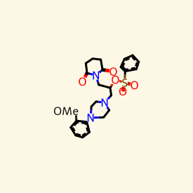 COc1ccccc1N1CCN(CC(CN2C(=O)CCCC2=O)OS(=O)(=O)c2ccccc2)CC1